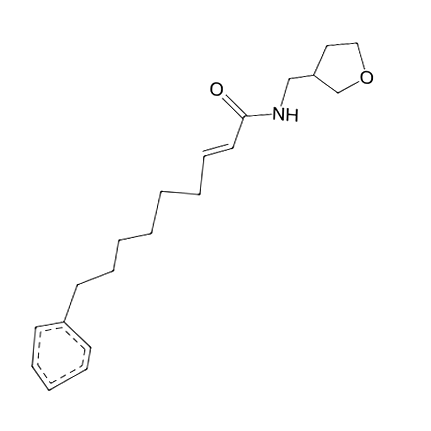 O=C(/C=C/CCCCCCc1ccccc1)NCC1CCOC1